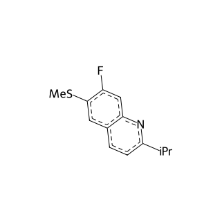 CSc1cc2ccc(C(C)C)nc2cc1F